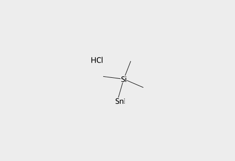 C[Si](C)(C)[Sn].Cl